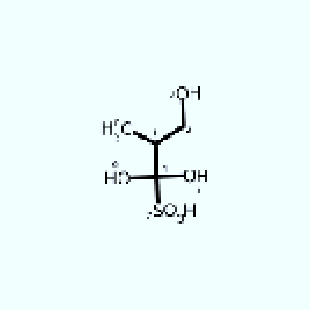 CC(CO)C(O)(O)S(=O)(=O)O